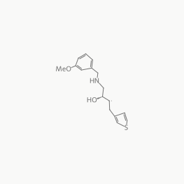 COc1cccc(CNC[C@H](O)[CH]Cc2ccsc2)c1